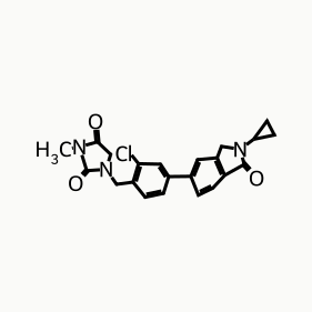 CN1C(=O)CN(Cc2ccc(-c3ccc4c(c3)CN(C3CC3)C4=O)cc2Cl)C1=O